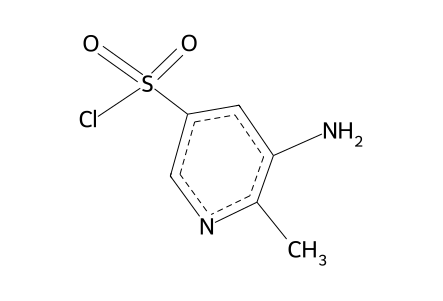 Cc1ncc(S(=O)(=O)Cl)cc1N